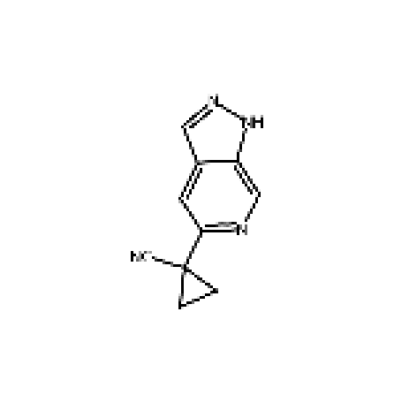 N#CC1(c2cc3cn[nH]c3cn2)CC1